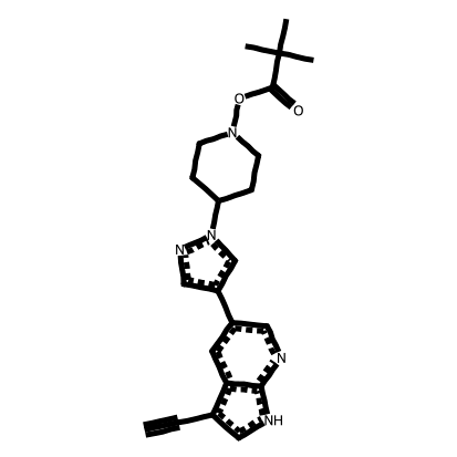 C#Cc1c[nH]c2ncc(-c3cnn(C4CCN(OC(=O)C(C)(C)C)CC4)c3)cc12